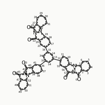 O=c1c2ccccc2n2c3ccc(-c4cc(-c5ccc6c(c5)c(=O)n5c(=O)c7ccccc7n65)cc(-c5ccc6c(c5)c(=O)n5c(=O)c7ccccc7n65)c4)cc3c(=O)n12